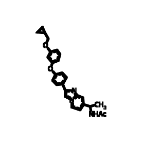 CC(=O)NC(C)c1ccn2cc(-c3ccc(Oc4cccc(OCC5CC5)c4)cc3)nc2c1